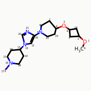 COC1CC(OC2CCN(c3cn(C4CCN(I)CC4)cn3)CC2)C1